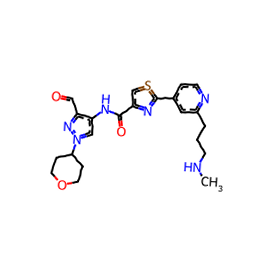 CNCCCc1cc(-c2nc(C(=O)Nc3cn(C4CCOCC4)nc3C=O)cs2)ccn1